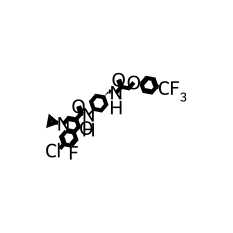 O=C(COc1ccc(C(F)(F)F)cc1)NC[C@H]1CC[C@H](NC(=O)c2cn(C3CC3)c3cc(Cl)c(F)cc3c2=O)CC1